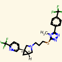 Cn1c(SCCCN2C[C@@H]3C[C@]3(c3ccc(C(F)(F)F)nc3)C2)nnc1-c1ccc(C(F)(F)F)cc1